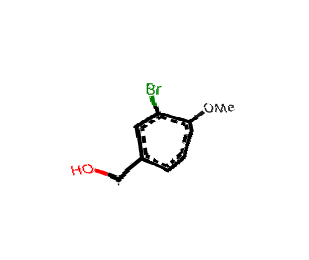 COc1ccc([CH]O)cc1Br